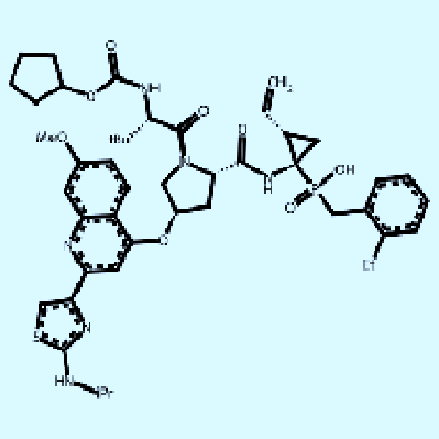 C=C[C@@H]1C[C@]1(NC(=O)[C@@H]1C[C@@H](Oc2cc(-c3csc(NC(C)C)n3)nc3cc(OC)ccc23)CN1C(=O)[C@@H](NC(=O)OC1CCCC1)C(C)(C)C)P(=O)(O)Cc1ccccc1CC